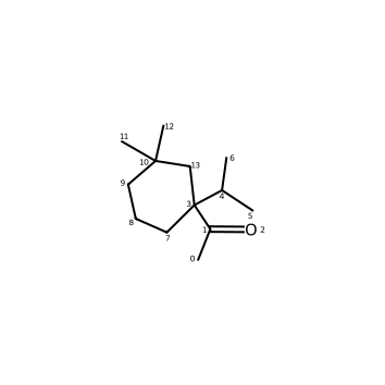 CC(=O)C1(C(C)C)CCCC(C)(C)C1